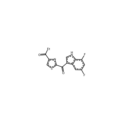 CCC(=O)c1csc(C(=O)c2c[nH]c3c(F)cc(F)cc23)n1